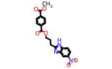 COC(=O)c1ccc(C(=O)OCCCc2nc3cc([N+](=O)[O-])ccc3[nH]2)cc1